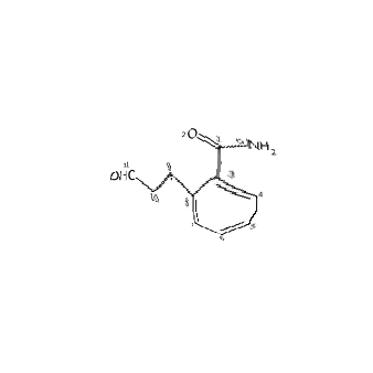 NC(=O)c1ccccc1[CH]CC=O